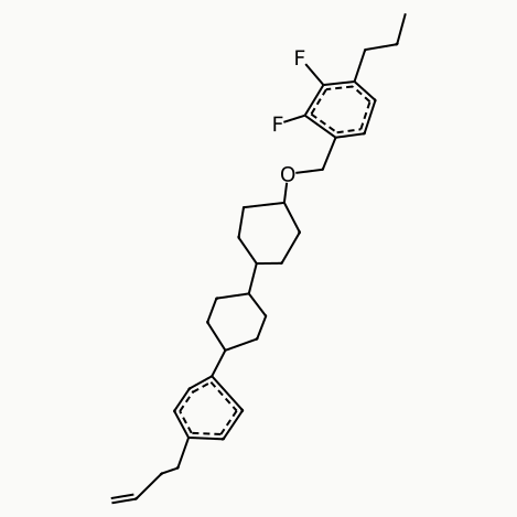 C=CCCc1ccc(C2CCC(C3CCC(OCc4ccc(CCC)c(F)c4F)CC3)CC2)cc1